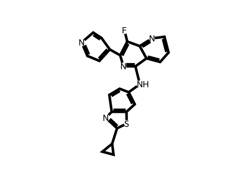 Fc1c(-c2ccncc2)nc(Nc2ccc3nc(C4CC4)sc3c2)c2cccnc12